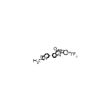 Cc1cn2cc(-c3ccc4nc(C5CCN(CC(F)(F)F)CC5)[nH]c(=O)c4c3)ccc2n1